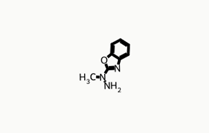 CN(N)c1nc2ccccc2o1